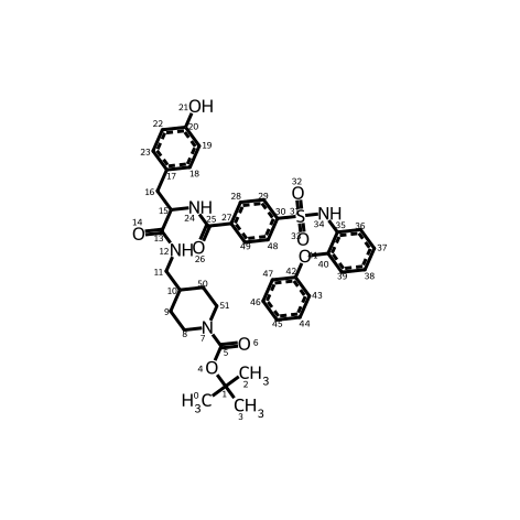 CC(C)(C)OC(=O)N1CCC(CNC(=O)C(Cc2ccc(O)cc2)NC(=O)c2ccc(S(=O)(=O)Nc3ccccc3Oc3ccccc3)cc2)CC1